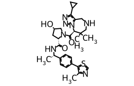 Cc1ncsc1-c1ccc([C@H](C)NC(=O)[C@@H]2C[C@@H](O)CN2C(=O)[C@H]2n3nnc(C4CC4)c3CNCC2(C)C)cc1